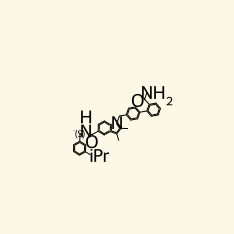 Cc1c(C)n(Cc2ccc(-c3ccccc3C(N)=O)cc2)c2ccc(C(=O)N[C@@H](C)c3cccc(C(C)C)c3)cc12